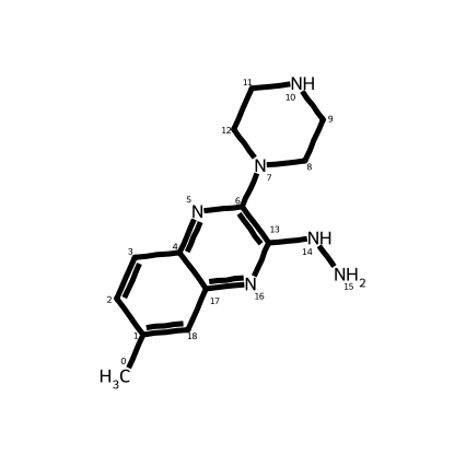 Cc1ccc2nc(N3CCNCC3)c(NN)nc2c1